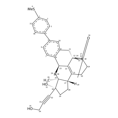 CSc1ccc(-c2ccc3c(c2)C[C@]24CCC(=O)C=C2CCC2=C4[C@@H]3C[C@@]3(C)[C@H]2CC[C@@]3(O)C#CCO)cc1